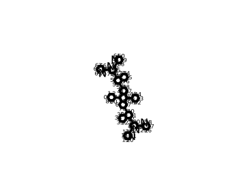 c1ccc(-c2c3ccc(-c4ccc(-c5cc(-c6ccccn6)nc(-c6ccccn6)c5)c5ccccc45)cc3c(-c3ccccc3)c3ccc(-c4ccc(-c5cc(-c6ccccn6)nc(-c6ccccn6)c5)c5ccccc45)cc23)cc1